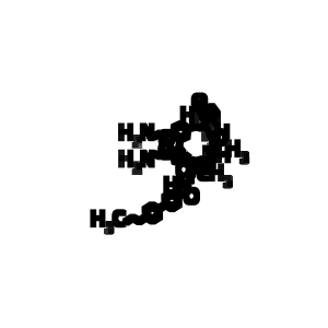 CCCCc1ccc(-c2ccc(C(=O)NCC(=O)N(C)C3C(=O)N[C@@H](C)C(=O)NC(c4nccc(=O)[nH]4)Cc4ccc(OCCN)c(c4)-c4cc3ccc4OCCN)cc2)cc1